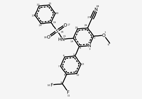 COc1nc(-c2ccc(C(F)F)cc2)c(NS(=O)(=O)c2ccccc2)cc1C#N